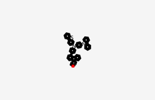 c1ccc2c(c1)-c1c(-c3ccc(N(c4ccc(-n5c6ccccc6c6ccccc65)cc4)c4ccc5c(c4)sc4ccccc45)cc3)cccc1C21CC2CCC1C2